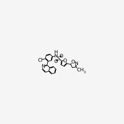 CC1=NOC(c2ccc(S(=O)(=O)Nc3ccc(Cl)c(-c4nccc5ccccc45)c3)o2)C1